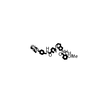 COc1cccc(C(=O)NC2CC3CCCN(c4ccc(C(=O)NCc5ccc(N6CCN(CC(C)C)CC6)cc5)cn4)C3C2)c1C